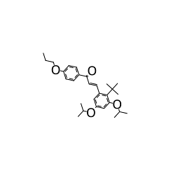 CCCOc1ccc(C(=O)C=Cc2cc(OC(C)C)cc(OC(C)C)c2C(C)(C)C)cc1